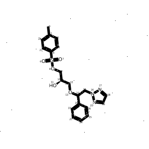 Cc1ccc(S(=O)(=O)OC[C@H](O)COC(Cn2nccn2)c2ccccc2)cc1